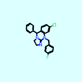 Fc1ccc(CN2C3=NCCN3C(c3ccccc3)c3ccc(Cl)cc32)cc1